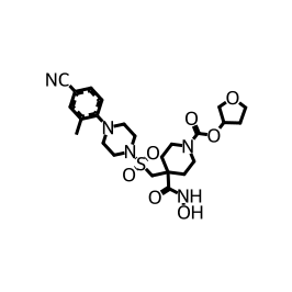 Cc1cc(C#N)ccc1N1CCN(S(=O)(=O)CC2(C(=O)NO)CCN(C(=O)OC3CCOC3)CC2)CC1